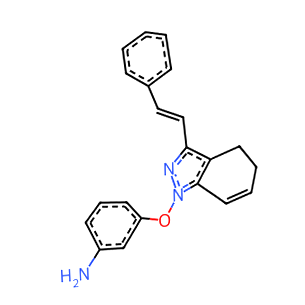 Nc1cccc(On2nc(C=Cc3ccccc3)c3c2C=CCC3)c1